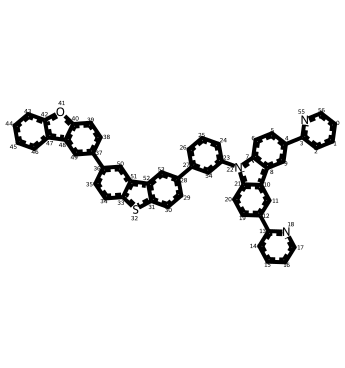 c1ccc(-c2ccc3c(c2)c2cc(-c4ccccn4)ccc2n3-c2cccc(-c3ccc4sc5ccc(-c6ccc7oc8ccccc8c7c6)cc5c4c3)c2)nc1